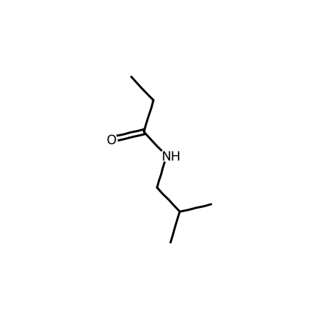 CCC(=O)NCC(C)C